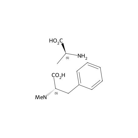 CN[C@@H](Cc1ccccc1)C(=O)O.C[C@H](N)C(=O)O